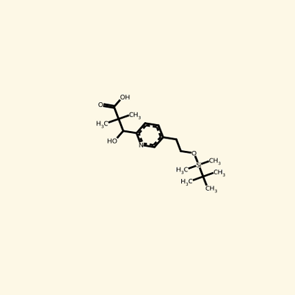 CC(C)(C(=O)O)C(O)c1ccc(CCO[Si](C)(C)C(C)(C)C)cn1